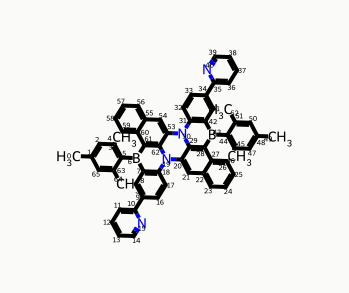 Cc1cc(C)c(B2c3cc(-c4ccccn4)ccc3N3c4cc5ccccc5c5c4N(c4ccc(-c6ccccn6)cc4B5c4c(C)cc(C)cc4C)c4cc5ccccc5c2c43)c(C)c1